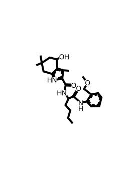 CCCCC(NC(=O)c1[nH]c2c(c1C)C(O)CC(C)(C)C2)C(=O)Nc1ccccc1COC